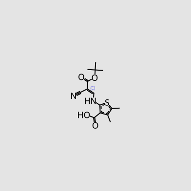 Cc1sc(N/C=C(\C#N)C(=O)OC(C)(C)C)c(C(=O)O)c1C